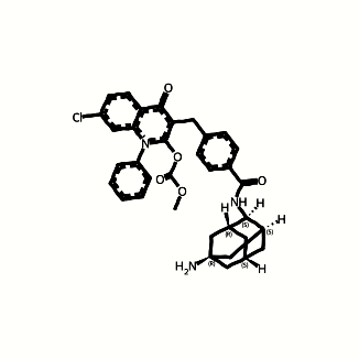 COC(=O)Oc1c(Cc2ccc(C(=O)N[C@@H]3[C@@H]4C[C@@H]5C[C@H]3C[C@](N)(C5)C4)cc2)c(=O)c2ccc(Cl)cc2n1-c1ccccc1